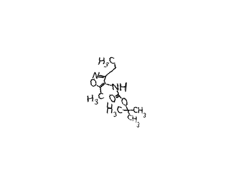 CCc1noc(C)c1NC(=O)OC(C)(C)C